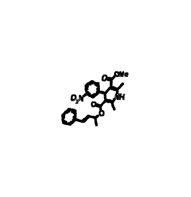 COC(=O)C1=C(C)NC(C)=C(C(=O)OC(C)C=Cc2ccccc2)C1c1cccc([N+](=O)[O-])c1